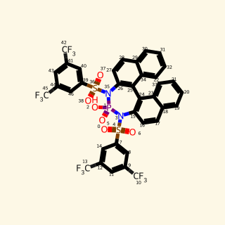 O=P1(O)N(S(=O)(=O)c2cc(C(F)(F)F)cc(C(F)(F)F)c2)c2ccc3ccccc3c2-c2c(ccc3ccccc23)N1S(=O)(=O)c1cc(C(F)(F)F)cc(C(F)(F)F)c1